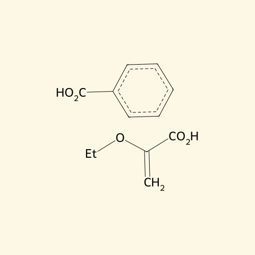 C=C(OCC)C(=O)O.O=C(O)c1ccccc1